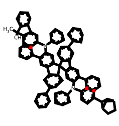 CC1(C)c2ccccc2-c2cc(N(c3ccccc3)c3cc4c(cc3-c3ccccc3)-c3cc(-c5ccccc5)ccc3C43c4ccc(-c5ccccc5)cc4-c4cc(-c5ccccc5)c(N(c5ccccc5)c5ccc(C6CC7CCC6C7)cc5)cc43)ccc21